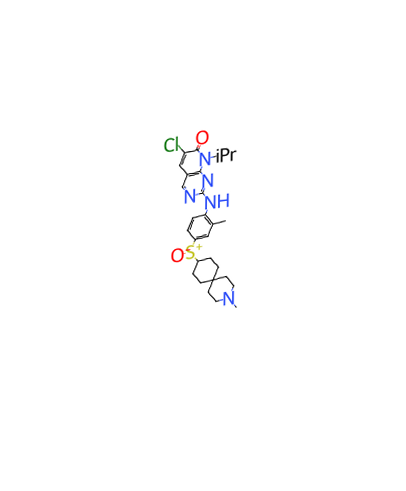 Cc1cc([S+]([O-])C2CCC3(CC2)CCN(C)CC3)ccc1Nc1ncc2cc(Cl)c(=O)n(C(C)C)c2n1